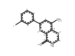 Cc1cc(-c2cccc(I)c2)nc2c(=O)[nH]cnc12